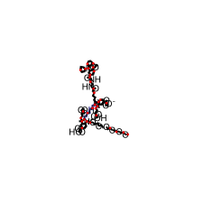 COCCOCCOCCOCCOCCOCC[N+]1=C(/C=C/C=C/C=C/C=C2/N(CCCCCC(=O)NCCNC(=O)c3ccc(C(=O)OC)c(P(c4ccccc4)c4ccccc4)c3)c3ccc(S(=O)(=O)[O-])cc3C2(C)CCCS(=O)(=O)O)C(C)(CCCS(=O)(=O)O)c2cc(S(=O)(=O)O)ccc21